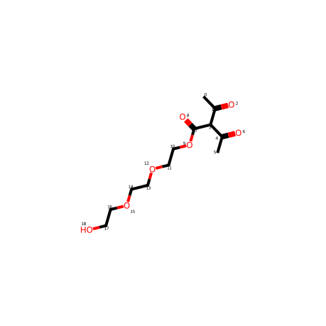 CC(=O)C(C(C)=O)C(=O)OCCOCCOCCO